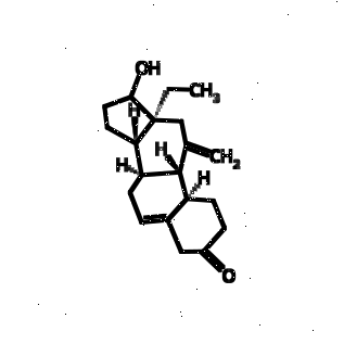 C=C1C[C@]2(CC)C(O)CC[C@H]2[C@@H]2CC=C3CC(=O)CC[C@@H]3[C@@H]12